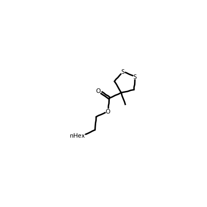 CCCCCCCCOC(=O)C1(C)CSSC1